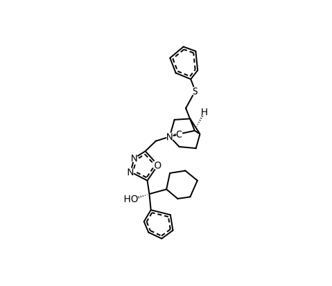 O[C@](c1ccccc1)(c1nnc(C[N+]23CCC(CC2)[C@H](CSc2ccccc2)C3)o1)C1CCCCC1